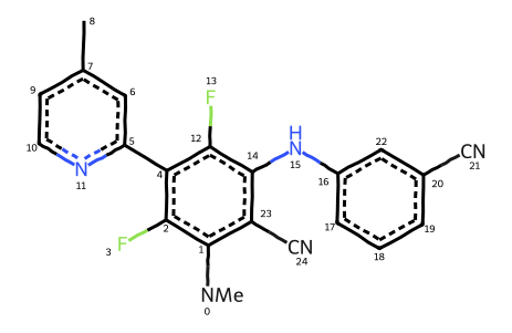 CNc1c(F)c(-c2cc(C)ccn2)c(F)c(Nc2cccc(C#N)c2)c1C#N